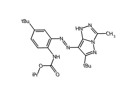 Cc1n[nH]c2c(N=Nc3cc(C(C)(C)C)ccc3NC(=O)OC(C)C)c(C(C)(C)C)nn12